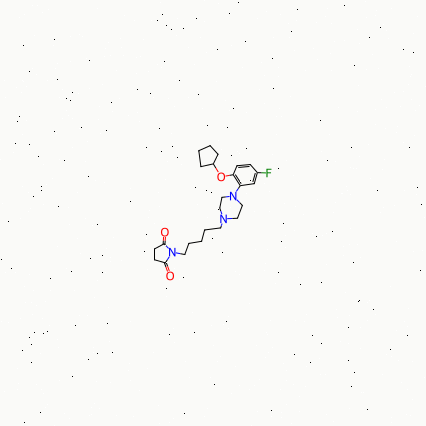 O=C1CCC(=O)N1CCCCCN1CCN(c2cc(F)ccc2OC2CCCC2)CC1